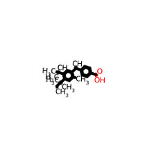 C=C(c1ccc(C(=O)O)cc1)c1cc(C(C)(C)C)c(C(C)(C)CC)cc1C